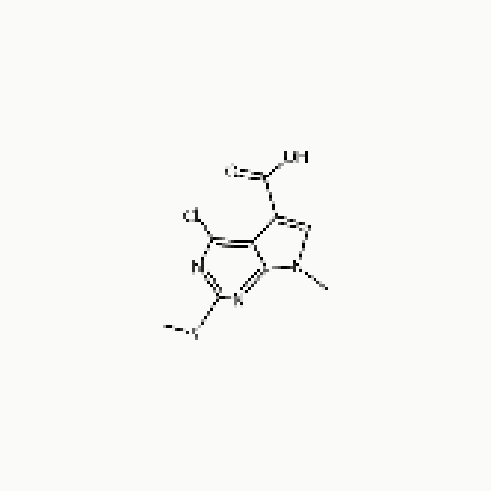 CSc1nc(Cl)c2c(C(=O)O)cn(C)c2n1